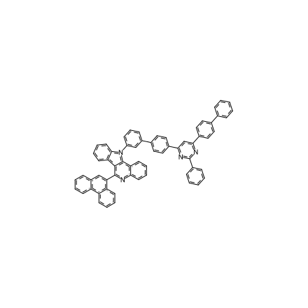 c1ccc(-c2ccc(-c3cc(-c4ccc(-c5cccc(-n6c7ccccc7c7c(-c8cc9ccccc9c9ccccc89)nc8ccccc8c76)c5)cc4)nc(-c4ccccc4)n3)cc2)cc1